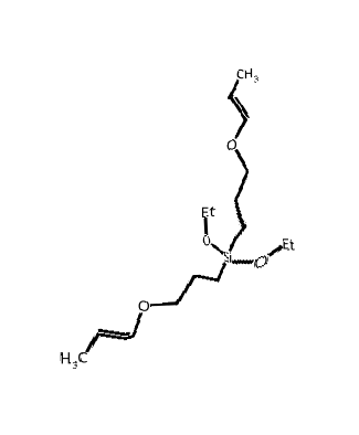 CC=COCCC[Si](CCCOC=CC)(OCC)OCC